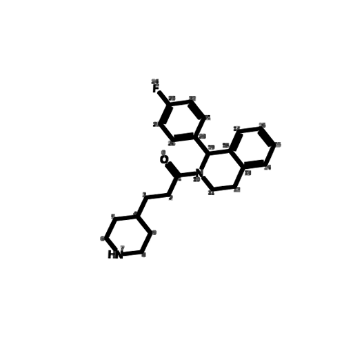 O=C(CCC1CCNCC1)N1CCc2ccccc2C1c1ccc(F)cc1